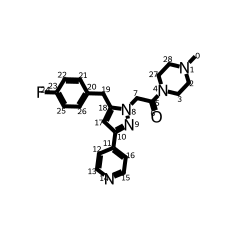 CN1CCN(C(=O)Cn2nc(-c3ccncc3)cc2Cc2ccc(F)cc2)CC1